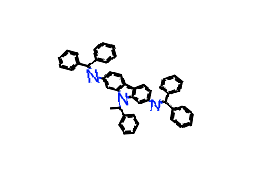 CC(c1ccccc1)n1c2cc(N=C(c3ccccc3)c3ccccc3)ccc2c2ccc(N=C(c3ccccc3)c3ccccc3)cc21